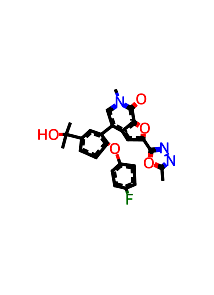 Cc1nnc(-c2cc3c(-c4cc(C(C)(C)O)ccc4Oc4ccc(F)cc4)cn(C)c(=O)c3o2)o1